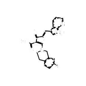 O=C(O)C1=C(N2CCc3ccc(F)cc3C2)OC(=Cc2c[nH]c3ncccc23)C1=O